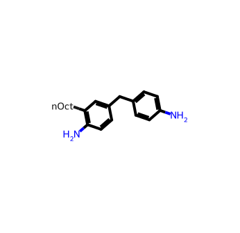 CCCCCCCCc1cc(Cc2ccc(N)cc2)ccc1N